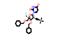 C[Si](C)(C)C#C[C@@H]1[C@H](n2ccc(=O)[nH]c2=O)O[C@](CF)(COCc2ccccc2)[C@H]1OCc1ccccc1